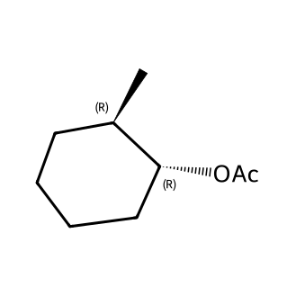 CC(=O)O[C@@H]1CCCC[C@H]1C